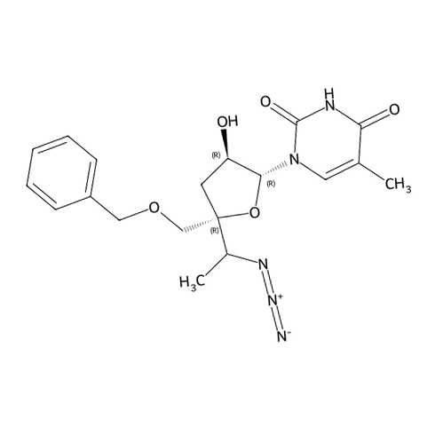 Cc1cn([C@@H]2O[C@@](COCc3ccccc3)(C(C)N=[N+]=[N-])C[C@H]2O)c(=O)[nH]c1=O